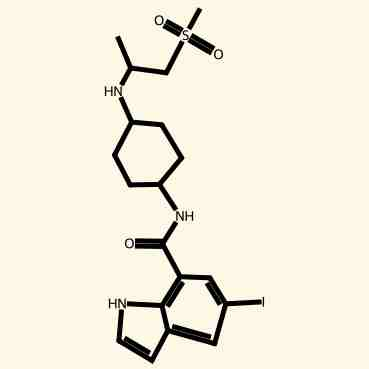 CC(CS(C)(=O)=O)NC1CCC(NC(=O)c2cc(I)cc3cc[nH]c23)CC1